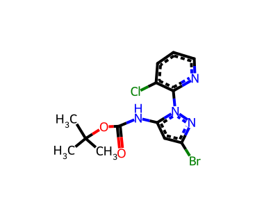 CC(C)(C)OC(=O)Nc1cc(Br)nn1-c1ncccc1Cl